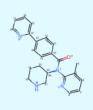 Cc1cccnc1N(C(=O)c1ccc(-c2ccccn2)cc1)[C@@H]1CCCNC1